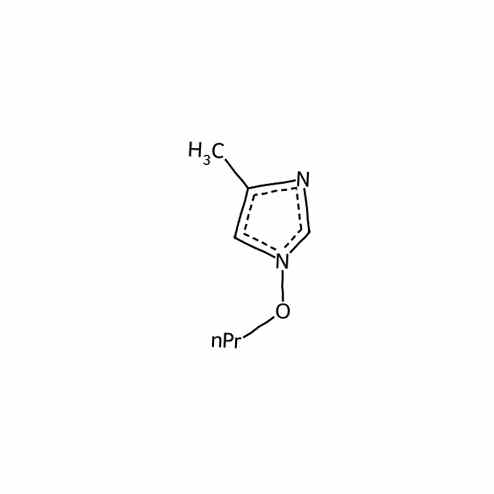 CCCOn1cnc(C)c1